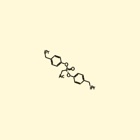 CC(=O)CP(=O)(Oc1ccc(CC(C)C)cc1)Oc1ccc(CC(C)C)cc1